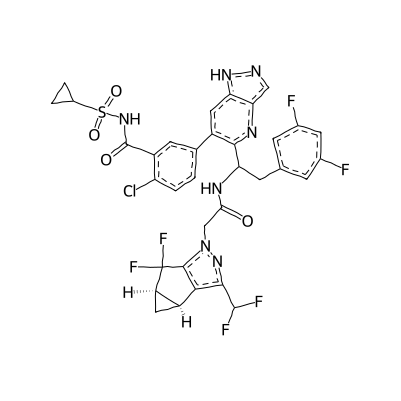 O=C(Cn1nc(C(F)F)c2c1C(F)(F)[C@@H]1C[C@H]21)NC(Cc1cc(F)cc(F)c1)c1nc2cn[nH]c2cc1-c1ccc(Cl)c(C(=O)NS(=O)(=O)C2CC2)c1